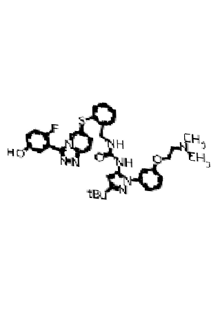 CN(C)CCOc1cccc(-n2nc(C(C)(C)C)cc2NC(=O)NCc2ccccc2Sc2ccc3nnc(-c4cc(O)ccc4F)n3c2)c1